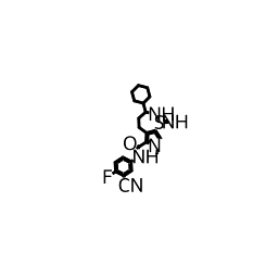 Cn1cc2c(c1C(=O)Nc1ccc(F)c(C#N)c1)CCC(C1CCCCC1)NS2=N